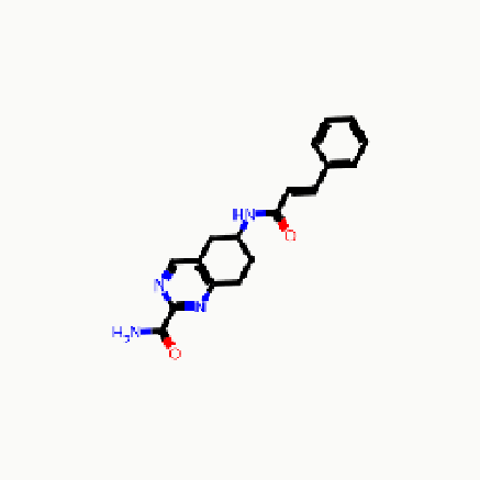 NC(=O)c1ncc2c(n1)CCC(NC(=O)C=Cc1ccccc1)C2